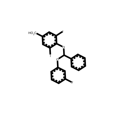 O=C(O)c1cc(I)c(OC(Oc2cccc(F)c2)c2ccccc2)c(I)c1